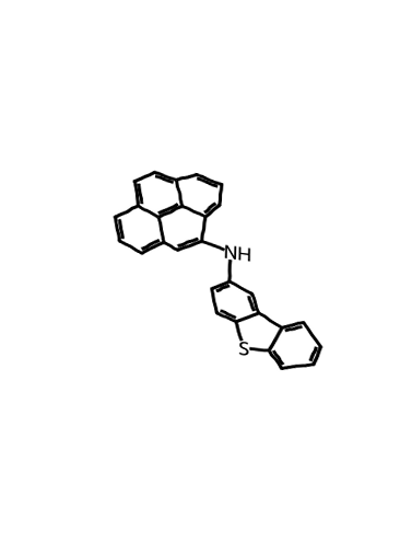 c1cc2ccc3cccc4c(Nc5ccc6sc7ccccc7c6c5)cc(c1)c2c34